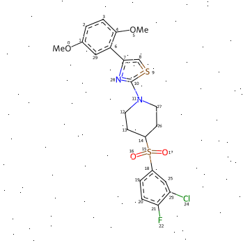 COc1ccc(OC)c(-c2csc(N3CCC(S(=O)(=O)c4ccc(F)c(Cl)c4)CC3)n2)c1